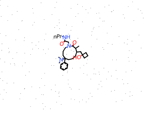 CCCNC(=O)CN1CCC[C@](c2ccccc2)(N(C)C)CCCC(CC2(O)CCC2)C(C)C1=O